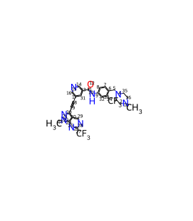 CN1CCN(Cc2ccc(NC(=O)c3cncc(C#Cc4nn(C)c5nc(C(F)(F)F)ncc45)c3)cc2C(F)(F)F)CC1